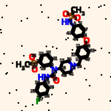 CS(=O)(=O)Nc1ccc(Oc2ccc(CN3CCC(N(C(=O)Nc4ccc(F)cc4)c4cccc(S(C)(=O)=O)c4)CC3)cc2)cc1